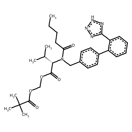 CCCCC(=O)N(Cc1ccc(-c2ccccc2-c2nn[nH]n2)cc1)[C@H](C(=O)OCOC(=O)C(C)(C)C)C(C)C